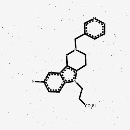 CCOC(=O)CCn1c2c(c3cc(F)ccc31)CN(Cc1cccnc1)CC2